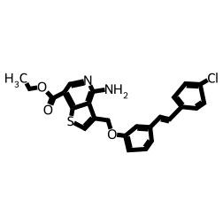 CCOC(=O)c1cnc(N)c2c(COc3cccc(C=Cc4ccc(Cl)cc4)c3)csc12